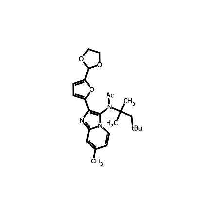 CC(=O)N(c1c(-c2ccc(C3OCCO3)o2)nc2cc(C)ccn12)C(C)(C)CC(C)(C)C